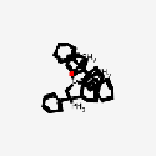 PC(CP(CC(P)(c1ccccc1)c1ccccc1)CC(P)(c1ccccc1)c1ccccc1)(c1ccccc1)c1ccccc1